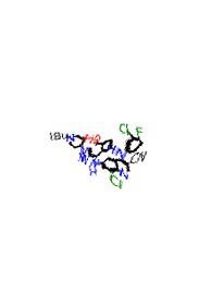 CC(C)(C)N1CCC(n2cc([C@@H](Nc3cc(Cl)c4ncc(C#N)c(Nc5ccc(F)c(Cl)c5)c4c3)c3ccccc3CO)nn2)CC1